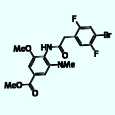 CNc1cc(C(=O)OC)cc(OC)c1NC(=O)Cc1cc(F)c(Br)cc1F